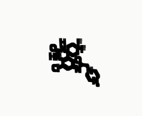 CN1CCN(Cc2nc3cc(Cl)c4c(c3o2)C2(CCC(F)(F)CC2)NC(=O)N4)CC1